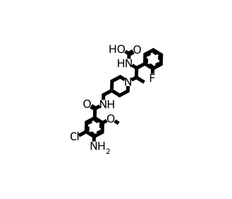 COc1cc(N)c(Cl)cc1C(=O)NCC1CCN(C(C)C(NC(=O)O)c2ccccc2F)CC1